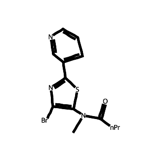 CCCC(=O)N(C)c1sc(-c2cccnc2)nc1Br